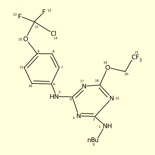 CCCCNc1nc(Nc2ccc(OC(F)(F)Cl)cc2)nc(OCC(F)(F)F)n1